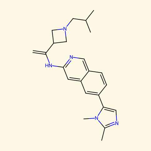 C=C(Nc1cc2cc(-c3cnc(C)n3C)ccc2cn1)C1CN(CC(C)C)C1